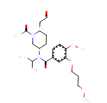 COCCCOc1cc(C(=O)N(C(C)C)[C@@H]2CC[C@H](CC=O)N(C(=O)O)C2)ccc1OC